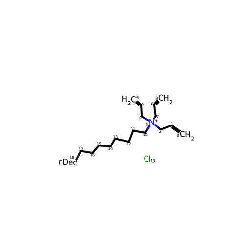 C=CC[N+](CC=C)(CC=C)CCCCCCCCCCCCCCCCCC.[Cl-]